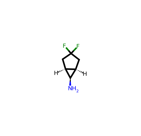 N[C@H]1[C@H]2CC(F)(F)C[C@@H]12